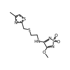 COC1=NS(=O)(=O)N=C1NCCSCc1nc(C)cs1